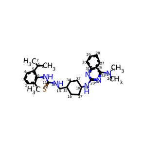 Cc1cccc(C(C)C)c1NC(=S)NCC1CCC(Nc2nc(N(C)C)c3ccccc3n2)CC1